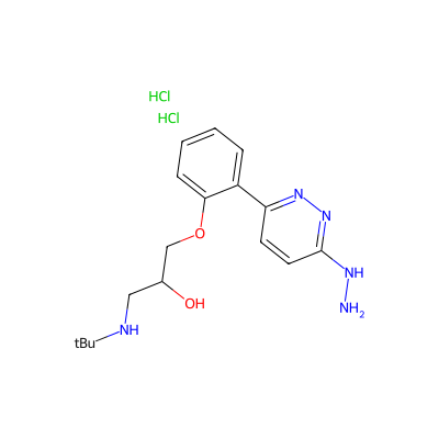 CC(C)(C)NCC(O)COc1ccccc1-c1ccc(NN)nn1.Cl.Cl